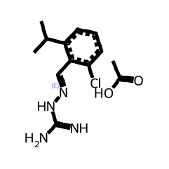 CC(=O)O.CC(C)c1cccc(Cl)c1/C=N/NC(=N)N